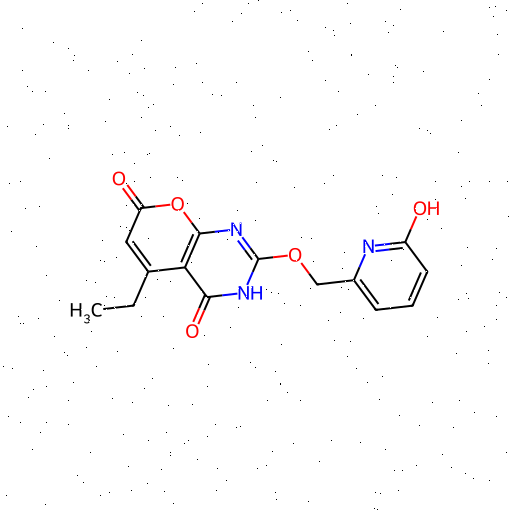 CCc1cc(=O)oc2nc(OCc3cccc(O)n3)[nH]c(=O)c12